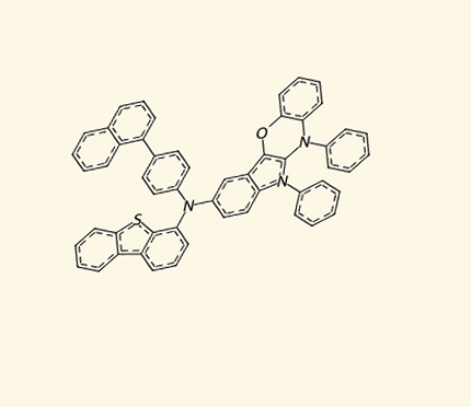 c1ccc(N2c3ccccc3Oc3c2n(-c2ccccc2)c2ccc(N(c4ccc(-c5cccc6ccccc56)cc4)c4cccc5c4sc4ccccc45)cc32)cc1